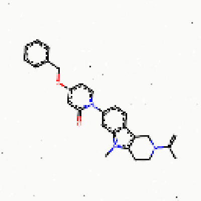 C=C(C)N1CCc2c(c3ccc(-n4ccc(OCc5ccccc5)cc4=O)cc3n2C)C1